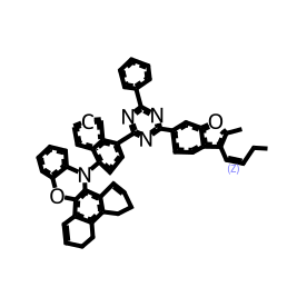 CC/C=C\c1c(C)oc2cc(-c3nc(-c4ccccc4)nc(-c4ccc(N5c6ccccc6Oc6c7c(c8c(c65)C=CCC8)CCC=C7)c5ccccc45)n3)ccc12